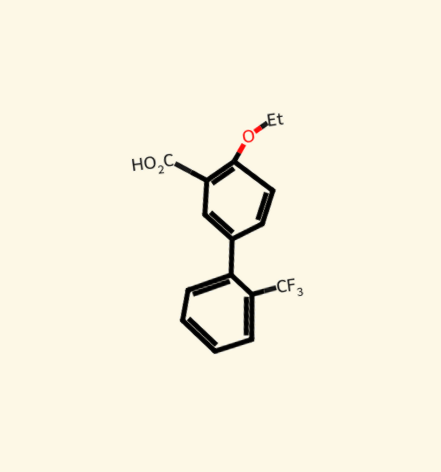 CCOc1ccc(-c2ccccc2C(F)(F)F)cc1C(=O)O